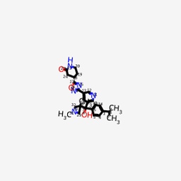 CC(C)c1ccc(C(O)(c2cncc(-c3noc([C@H]4CCNC(=O)C4)n3)c2)C2(C)CN(C)C2)cc1